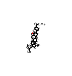 COC(=O)c1ccc(C2=CC[C@]3(C)[C@H]4CC[C@@H]5[C@H]6[C@H](C(C)C)CC[C@]6(NCC(=O)N(C)C)CC[C@@]5(C)[C@]4(C)CC[C@H]3C2(C)C)cc1